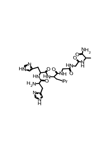 CC(C)CC(NC(=O)C(Cc1c[nH]cn1)NC(=O)C(N)Cc1c[nH]cn1)C(=O)NCC(=O)NCC(=O)NC(C)C(N)=O